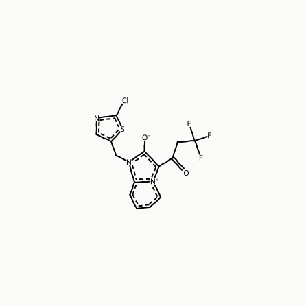 O=C(CC(F)(F)F)c1c([O-])n(Cc2cnc(Cl)s2)c2cccc[n+]12